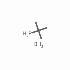 B.CC(C)(C)P